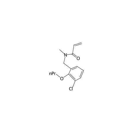 C=CC(=O)N(C)Cc1cccc(Cl)c1OCCC